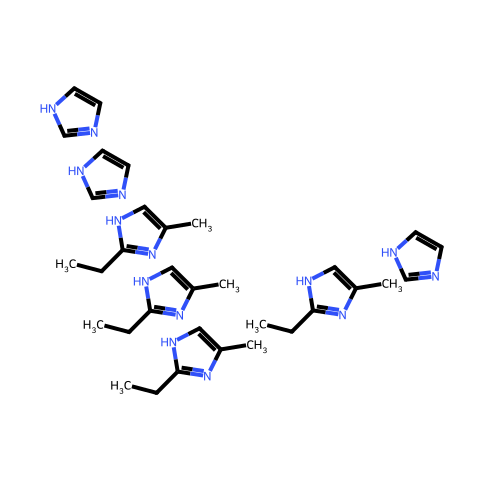 CCc1nc(C)c[nH]1.CCc1nc(C)c[nH]1.CCc1nc(C)c[nH]1.CCc1nc(C)c[nH]1.c1c[nH]cn1.c1c[nH]cn1.c1c[nH]cn1